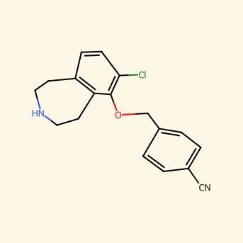 N#Cc1ccc(COc2c(Cl)ccc3c2CCNCC3)cc1